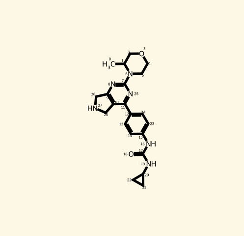 CC1COCCN1c1nc2c(c(-c3ccc(NC(=O)NC4CC4)cc3)n1)CNC2